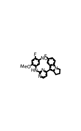 COc1cc(F)c([N+](=O)[O-])cc1Nc1nccc(-c2c3n(c4ccc(F)cc24)CCC3)n1